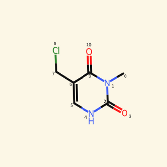 Cn1c(=O)[nH]cc(CCl)c1=O